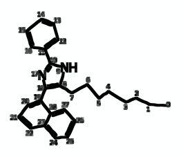 CCCCCCCCc1[nH]c(-c2ccccc2)nc1-c1cccc2ccccc12